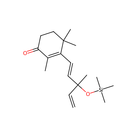 C=CC(C)(C=CC1=C(C)C(=O)CCC1(C)C)O[Si](C)(C)C